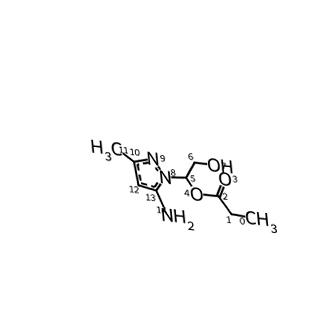 CCC(=O)OC(CO)n1nc(C)cc1N